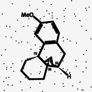 COc1ccc2c(c1)[C@]13CCCC[C@@H]1[C@@H](CCC3)C2